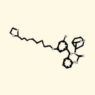 O=C(O)N(C1CN2CCC1CC2)[C@H](c1ccccc1)c1cc(Br)cc(OCCCCCCCCC2OCCO2)c1